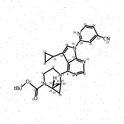 CC(C)(C)OC(=O)N1CCN(c2ncnc3c2c(C2CC2)cn3-c2cc(C#N)ccn2)[C@@H]2C[C@@H]21